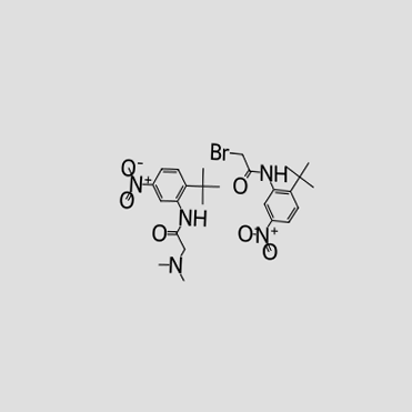 CC(C)(C)c1ccc([N+](=O)[O-])cc1NC(=O)CBr.CN(C)CC(=O)Nc1cc([N+](=O)[O-])ccc1C(C)(C)C